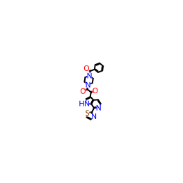 O=C(C(=O)N1CCN(C(=O)c2ccccc2)CC1)c1c[nH]c2c(-c3nccs3)nccc12